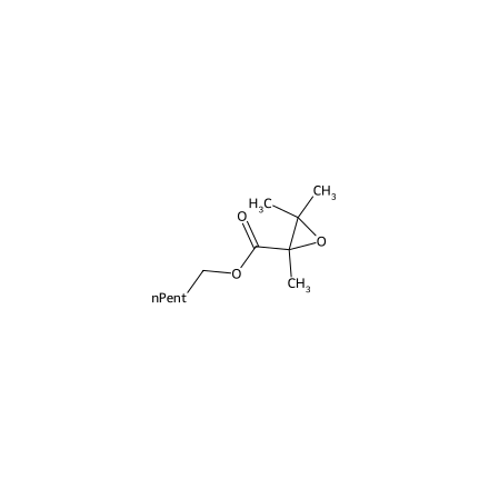 CCCCCCOC(=O)C1(C)OC1(C)C